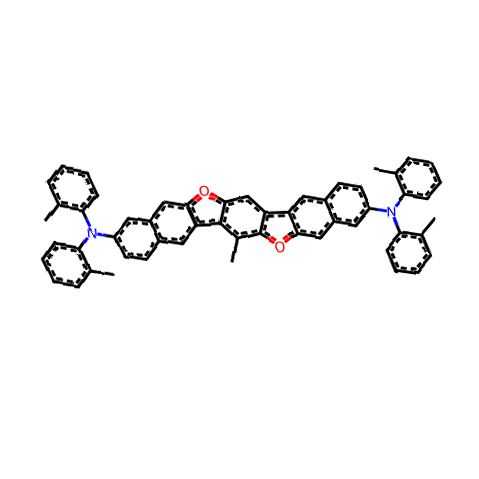 Cc1ccccc1N(c1ccc2cc3c(cc2c1)oc1c(C)c2c(cc13)oc1cc3cc(N(c4ccccc4C)c4ccccc4C)ccc3cc12)c1ccccc1C